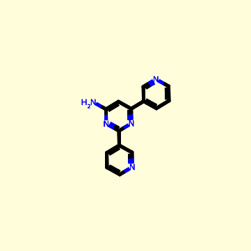 Nc1cc(-c2cccnc2)nc(-c2cccnc2)n1